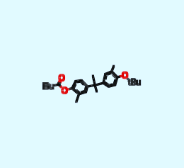 CCC(C)C(=O)Oc1ccc(C(C)(C)c2ccc(OC(C)(C)C)c(C)c2)cc1C